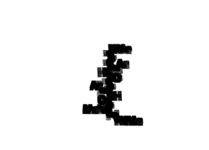 CNCCCC(CC(=O)NC(CCC(=O)NC(CCCNC)CC(C)=O)CC(C)=O)NC